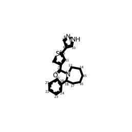 O=C(c1csc(-c2cn[nH]c2)c1)N1CCCCCC1c1ccccc1